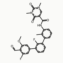 COc1cc(-c2cccc(-c3cccc(NC(=O)c4cn(C)c(=O)n(C)c4=O)c3C)c2F)cc(F)c1C=O